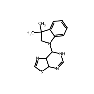 CC1(C)CN(C2NC=NC3SC=NC32)c2ccccc21